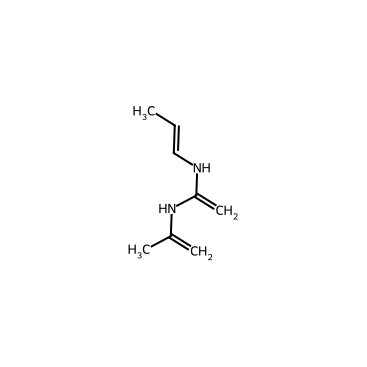 C=C(C)NC(=C)N/C=C/C